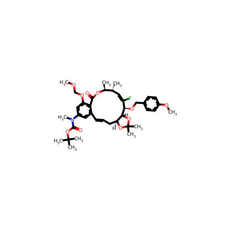 COCOc1cc(N(C)C(=O)OC(C)(C)C)cc2c1C(=O)O[C@@H](C)[C@H](C)/C=C(/F)[C@@H](OCc1ccc(OC)cc1)[C@H]1OC(C)(C)O[C@H]1C/C=C/2